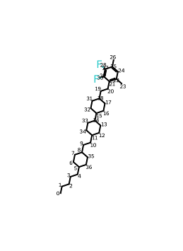 CCCCCC1CCC(CCC2CCC(C3CCC(CCc4c(C)cc(C)c(F)c4F)CC3)CC2)CC1